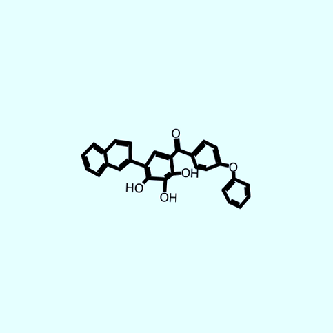 O=C(c1ccc(Oc2ccccc2)cc1)c1cc(-c2ccc3ccccc3c2)c(O)c(O)c1O